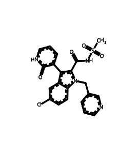 CS(=O)(=O)NC(=O)c1c(-c2ccc[nH]c2=O)c2cc(Cl)ccc2n1Cc1cccnc1